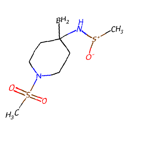 BC1(N[S+](C)[O-])CCN(S(C)(=O)=O)CC1